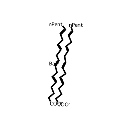 CCCCCC=CCC=CCC=CCC=CCCCC(=O)[O-].CCCCCC=CCC=CCC=CCC=CCCCC(=O)[O-].[Ba+2]